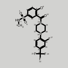 CNS(=O)(=O)c1ccc(Cl)c(C(=O)N2CCN(c3ccc(C(F)(F)F)cc3F)CC2)c1